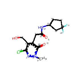 Cn1nc(Cl)c(CO)c(CC(=O)NC2CCC(F)(F)C2)c1=O